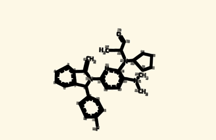 C=C1c2ccccc2C(c2ccc(F)cc2)N1c1ccc(N(C)C)c(N(C(C)C=O)C2CCCC2)n1